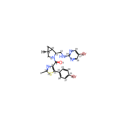 Cc1nc(C(=O)N2C[C@@H]3CC3[C@H]2CNc2ncc(Br)cn2)c(-c2ccc(Br)cc2)s1